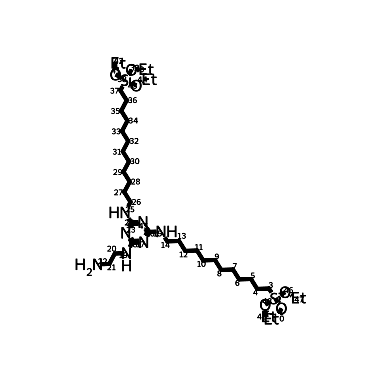 CCO[Si](CCCCCCCCCCCCNc1nc(NCCN)nc(NCCCCCCCCCCCC[Si](OCC)(OCC)OCC)n1)(OCC)OCC